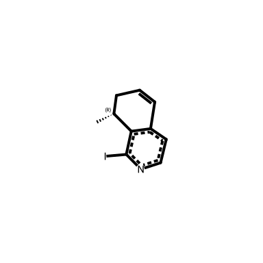 C[C@@H]1CC=Cc2ccnc(I)c21